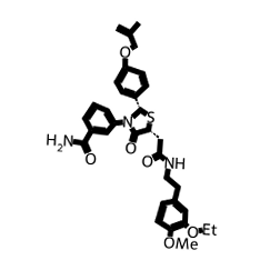 C=C(C)COc1ccc([C@@H]2S[C@H](CC(=O)NCCc3ccc(OC)c(OCC)c3)C(=O)N2c2cccc(C(N)=O)c2)cc1